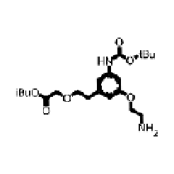 CC(C)COC(=O)COCCc1cc(NC(=O)OC(C)(C)C)cc(OCCN)c1